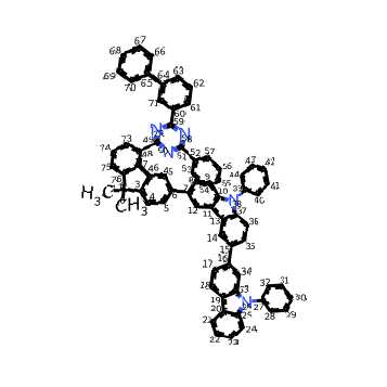 CC1(C)c2ccc(-c3ccc4c(c3)c3cc(-c5ccc6c7ccccc7n(-c7ccccc7)c6c5)ccc3n4-c3ccccc3)cc2-c2c(-c3nc(-c4ccccc4)nc(-c4cccc(-c5ccccc5)c4)n3)cccc21